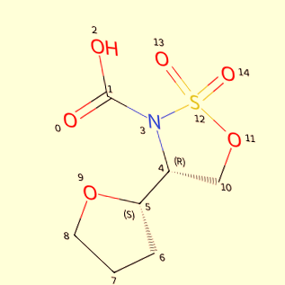 O=C(O)N1[C@@H]([C@@H]2CCCO2)COS1(=O)=O